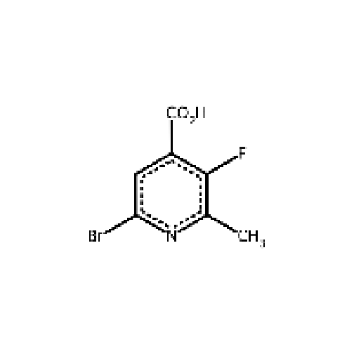 Cc1nc(Br)cc(C(=O)O)c1F